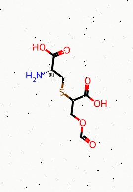 N[C@@H](CSC(COC=O)C(=O)O)C(=O)O